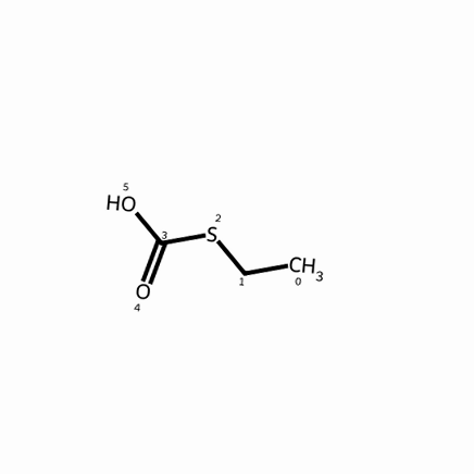 CCSC(=O)O